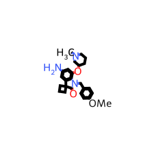 COc1ccc(CN2C(=O)C3(CCC3)c3cc(N)cc(OC4CCCN(C)C4)c32)cc1